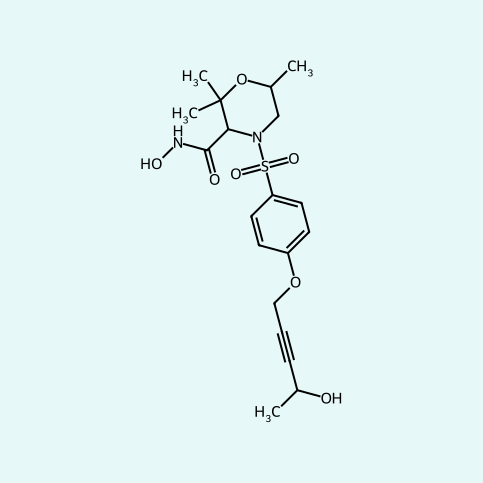 CC(O)C#CCOc1ccc(S(=O)(=O)N2CC(C)OC(C)(C)C2C(=O)NO)cc1